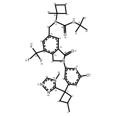 CC1CC(c2cc(Cl)nc(N3Cc4c(cc(CN(C(=O)OC(C)(C)C)C5(C)CCC5)cc4C(F)(F)F)C3=O)c2)(c2nncn2C)C1